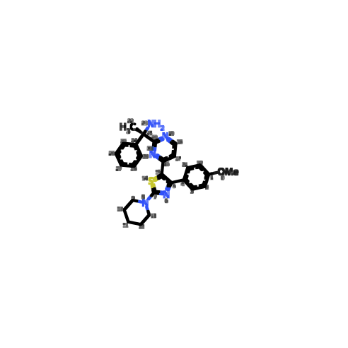 COc1ccc(-c2nc(N3CCCCC3)sc2-c2ccnc([C@@](C)(N)c3ccccc3)n2)cc1